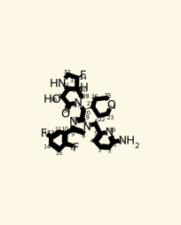 Nc1cccc(Cn2cc(-c3cc(F)ccc3F)nc2[C@@H](C2CCOCC2)N2C[C@@H]3C(NC[C@@H]3F)[C@H](O)C2=O)n1